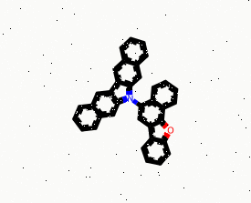 c1ccc2cc3c(cc2c1)c1cc2ccccc2cc1n3-c1cc2c3ccccc3oc2c2ccccc12